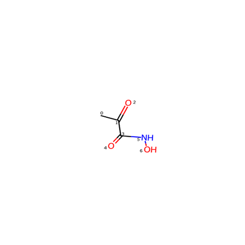 CC(=O)C(=O)NO